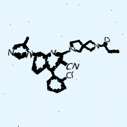 C=CC(=O)N1CC2(CCN(c3nc4cc(-n5cncc5C)ccc4c(-c4ccccc4Cl)c3C#N)C2)C1